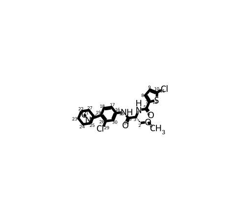 COC[C@@H](NC(=O)c1ccc(Cl)s1)C(=O)Nc1ccc(N2CC3CCC2CC3)c(Cl)c1